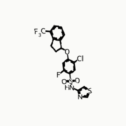 O=S(=O)(Nc1cscn1)c1cc(Cl)c(OC2CCc3c2cccc3C(F)(F)F)cc1F